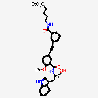 CCOC(=O)CCCCNC(=O)c1cccc(C#Cc2ccc(OC(C)C)c(C(=O)N[C@@H](CO)Cc3c[nH]c4ccccc34)c2)c1